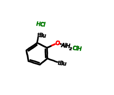 CC(C)(C)c1cccc(C(C)(C)C)c1[O][AlH2].Cl.Cl